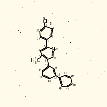 Cc1ccc(-c2cc(C)c(-c3cccc(-c4ccccc4)c3)cn2)cc1